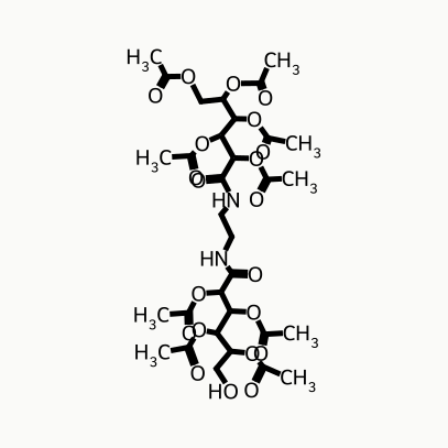 CC(=O)OCC(OC(C)=O)C(OC(C)=O)C(OC(C)=O)C(OC(C)=O)C(=O)NCCNC(=O)C(OC(C)=O)C(OC(C)=O)C(OC(C)=O)C(CO)OC(C)=O